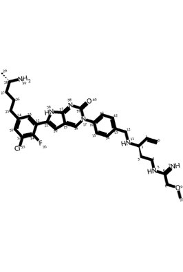 C=C[C@@H](CCNC(=N)COC)NCc1ccc(-n2cc3cc(-c4cc(CCC[C@H](C)N)cc(Cl)c4F)[nH]c3nc2=O)cc1